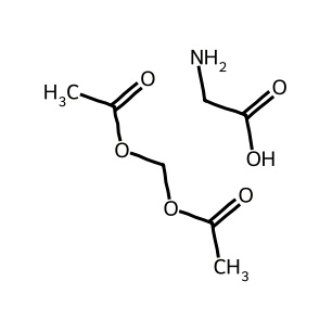 CC(=O)OCOC(C)=O.NCC(=O)O